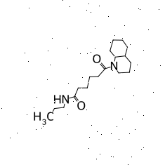 CCCNC(=O)CCCCC(=O)N1CCCC2CCCCC21